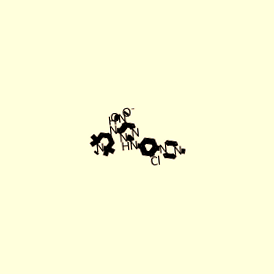 CN1CCN(c2ccc(Nc3ncc([N+](=O)[O-])c(NC4CC(C)(C)N(C)C(C)(C)C4)n3)cc2Cl)CC1